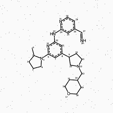 CC1CCCN1c1cc(C2CCN(CC3CCOCC3)C2)cc(Nc2cc(C=N)ccn2)n1